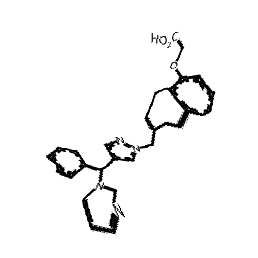 O=C(O)COc1cccc2c1CCC(Cn1cc(C(c3ccccc3)N3C=CC=NC3)cn1)C2